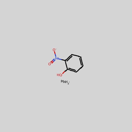 O=[N+]([O-])c1ccccc1O.[PbH2]